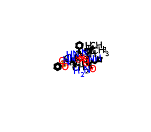 C=C(C)[C@@H](CN(C)S(=O)(=O)c1ccccc1)NC(=O)N[C@H](C(=O)N1C[C@H]2[C@@H]([C@H]1C(=O)NC(CC1CCC1)C(=O)C(N)=O)C2(C)C)C1CCCCC1